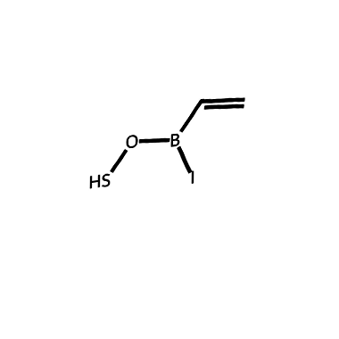 C=CB(I)OS